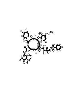 CCON=C1C[C@@H](C)O[C@@H](O[C@@H]2[C@@H](C)[C@H](O[C@H]3C[C@@H](C)N(C)C[C@H](C)O3)[C@@H](C)C(=O)O[C@@H](C(C)CO[C@@H]3O[C@H](C)[C@@H](O)[C@@H](OC)[C@H]3OC)[C@@H](C)[CH][C@@H](C)C(=O)[C@@](C)(OC(=O)NC(C)(C)CNS(=O)(=O)c3ccccc3)C[C@@H]2C)[C@@H]1O